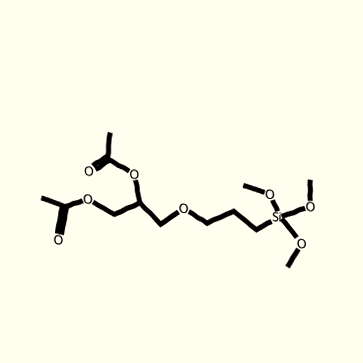 CO[Si](CCCOCC(COC(C)=O)OC(C)=O)(OC)OC